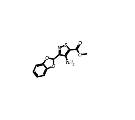 COC(=O)c1snc(C2Oc3ccccc3O2)c1N